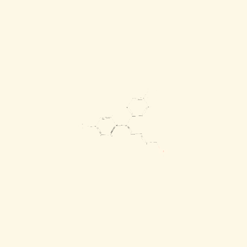 Cc1ccc(C(=C/C=C/CO)c2ccc(C)cc2)cc1